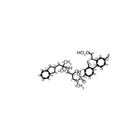 CN(CC(O)CNC(C)(C)CC1Cc2ccccc2C1)S(=O)(=O)c1ccc(-c2ccc(F)cc2CCC(=O)O)c(F)c1